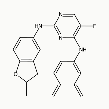 C=C/C=C\C(=C/C=C)Nc1nc(Nc2ccc3c(c2)CC(C)O3)ncc1F